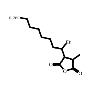 CCCCCCCCCCCCCCCCC(CC)C1C(=O)OC(=O)C1C